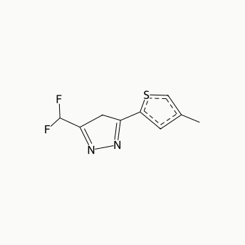 Cc1csc(C2=NN=C(C(F)F)C2)c1